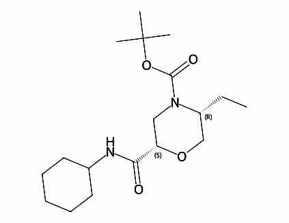 CC[C@@H]1CO[C@H](C(=O)NC2CCCCC2)CN1C(=O)OC(C)(C)C